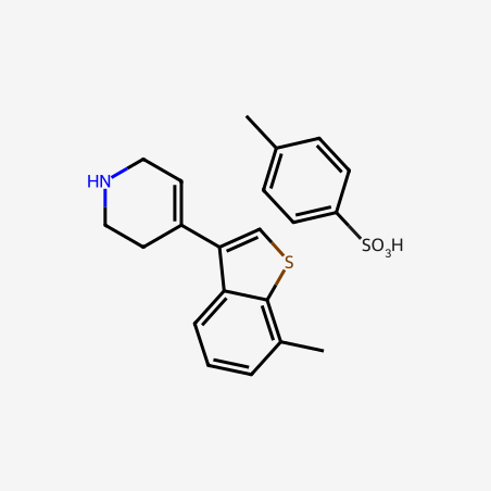 Cc1ccc(S(=O)(=O)O)cc1.Cc1cccc2c(C3=CCNCC3)csc12